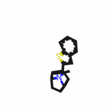 CCN1C2C=C(c3cc4ccccc4s3)CC1CC2